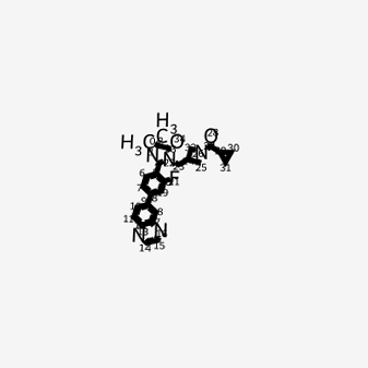 CC1(C)N=C(c2ccc(-c3ccc4nccnc4c3)cc2F)N(CC2CN(C(=O)C3CC3)C2)C1=O